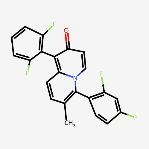 Cc1ccc2c(-c3c(F)cccc3F)c(=O)ccn2c1-c1ccc(F)cc1F